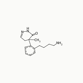 CC1(c2ccccc2CCCCN)CC=NNC1=O